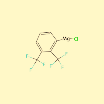 FC(F)(F)c1ccc[c]([Mg][Cl])c1C(F)(F)F